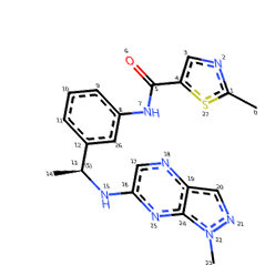 Cc1ncc(C(=O)Nc2cccc([C@H](C)Nc3cnc4cnn(C)c4n3)c2)s1